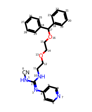 N#CN/C(=N/c1ccncc1)NCCOCCOC(c1ccccc1)c1ccccc1